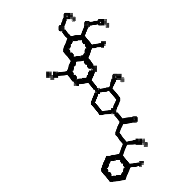 COc1cc2c(N)nc(N3CCN(C(=O)C[C@@H](N)c4ccccc4F)C[C@@H]3C)nc2c(F)c1OC